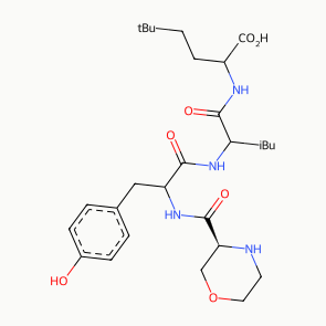 CCC(C)C(NC(=O)C(Cc1ccc(O)cc1)NC(=O)[C@@H]1COCCN1)C(=O)NC(CCC(C)(C)C)C(=O)O